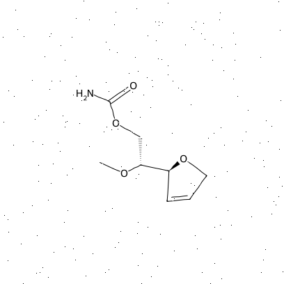 CO[C@H](COC(N)=O)[C@@H]1C=CCO1